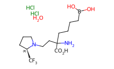 Cl.Cl.NC(CCCCB(O)O)(CCN1CCC[C@@H]1C(F)(F)F)C(=O)O.O